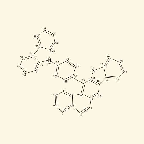 c1ccc2c(c1)ccc1nc3c(sc4ccccc43)c(-c3ccc(-n4c5ccccc5c5ccccc54)cc3)c12